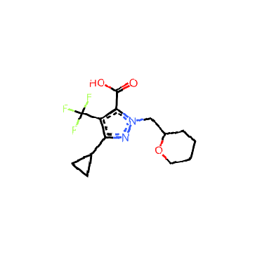 O=C(O)c1c(C(F)(F)F)c(C2CC2)nn1CC1CCCCO1